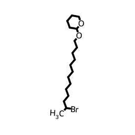 CC(Br)CCCCCCCCCCCOC1CCCCO1